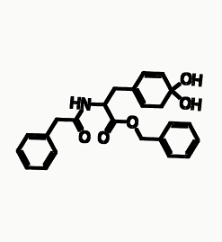 O=C(Cc1ccccc1)NC(CC1=CCC(O)(O)C=C1)C(=O)OCc1ccccc1